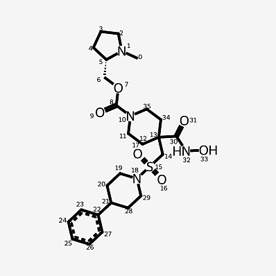 CN1CCC[C@H]1COC(=O)N1CCC(CS(=O)(=O)N2CCC(c3ccccc3)CC2)(C(=O)NO)CC1